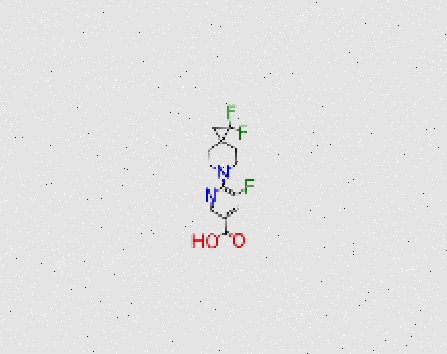 O=C(O)c1cnc(N2CCC3(CC2)CC3(F)F)c(F)c1